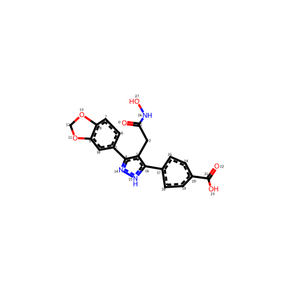 O=C(Cc1c(-c2ccc3c(c2)OCO3)n[nH]c1-c1ccc(C(=O)O)cc1)NO